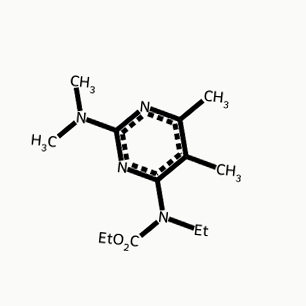 CCOC(=O)N(CC)c1nc(N(C)C)nc(C)c1C